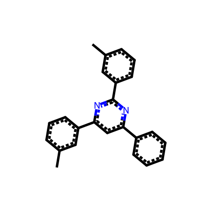 Cc1cccc(-c2cc(-c3ccccc3)nc(-c3cccc(C)c3)n2)c1